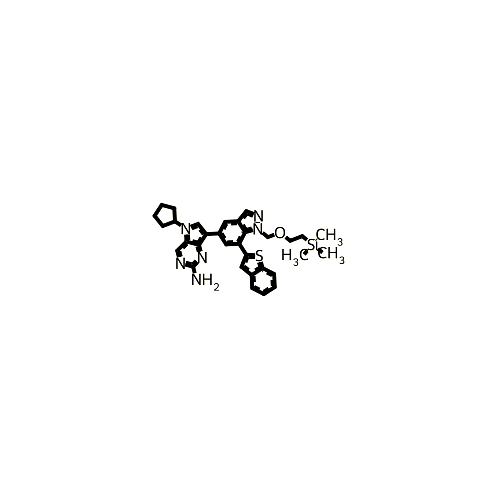 C[Si](C)(C)CCOCn1ncc2cc(-c3cn(C4CCCC4)c4cnc(N)nc34)cc(-c3cc4ccccc4s3)c21